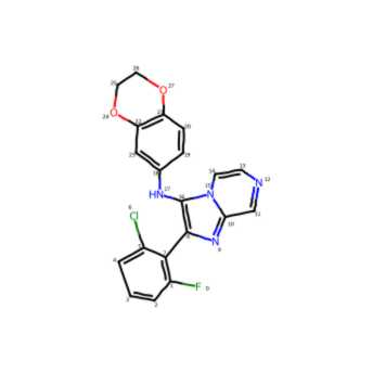 Fc1cccc(Cl)c1-c1nc2cnccn2c1Nc1ccc2c(c1)OCCO2